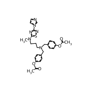 CC(=O)Oc1ccc(CN(CCCN(C)c2nc(-n3ccnc3)ns2)Cc2ccc(OC(C)=O)cc2)cc1